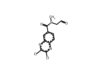 CN(C[C]=O)C(=O)c1ccc2nc(Cl)c(Cl)nc2c1